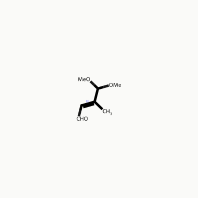 COC(OC)/C(C)=C/C=O